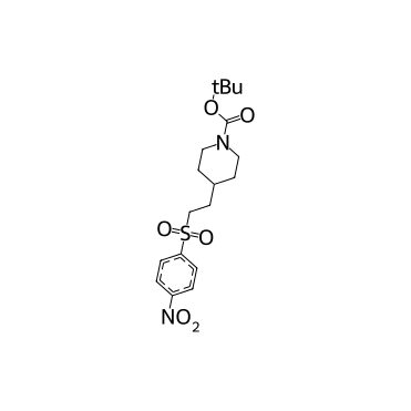 CC(C)(C)OC(=O)N1CCC(CCS(=O)(=O)c2ccc([N+](=O)[O-])cc2)CC1